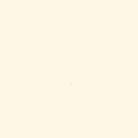 CC(C)(C)OC(=O)NCCCOc1ccc(C=O)cc1